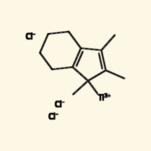 CC1=C(C)[C](C)([Ti+3])C2=C1CCCC2.[Cl-].[Cl-].[Cl-]